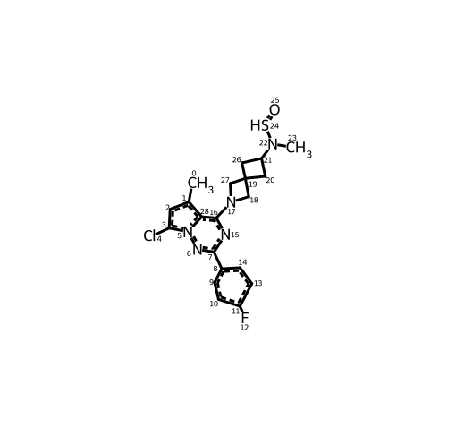 Cc1cc(Cl)n2nc(-c3ccc(F)cc3)nc(N3CC4(CC(N(C)[SH]=O)C4)C3)c12